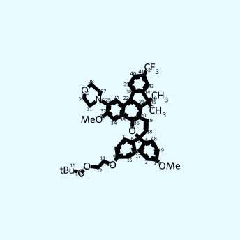 COc1ccc(C2(c3ccc(OCCOOC(C)(C)C)cc3)C=Cc3c4c(c5cc(N6CCOCC6)c(OC)cc5c3O2)-c2ccc(C(F)(F)F)cc2C4(C)C)cc1